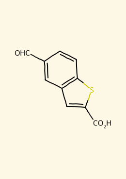 O=Cc1ccc2sc(C(=O)O)cc2c1